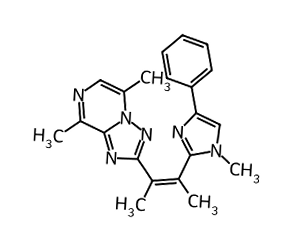 CC(=C(C)c1nc(-c2ccccc2)cn1C)c1nc2c(C)ncc(C)n2n1